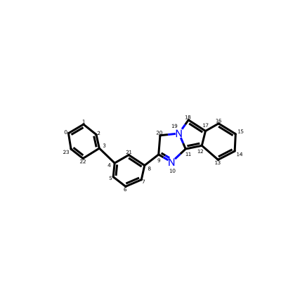 c1ccc(-c2cccc(C3=Nc4c5ccccc5cn4C3)c2)cc1